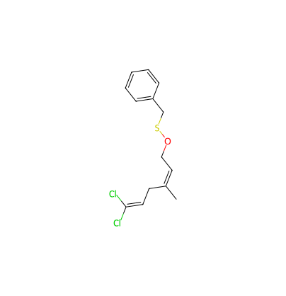 CC(=CCOSCc1ccccc1)CC=C(Cl)Cl